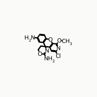 COc1nc(Cl)cc2c1Oc1ccc(N)cc1C21CCOC(N)=N1